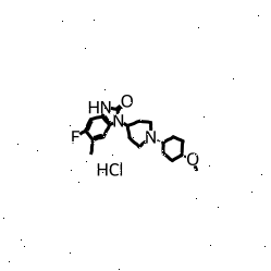 CO[C@H]1CC[C@H](N2CCC(n3c(=O)[nH]c4cc(F)c(C)cc43)CC2)CC1.Cl